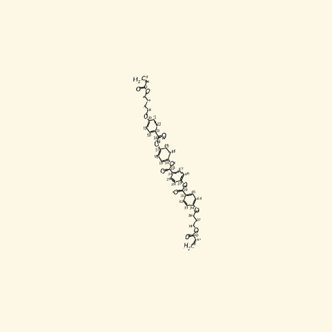 C=CC(=O)OCCCCOc1ccc(C(=O)OC2=CC=C(OC(=O)c3ccc(OC(=O)c4ccc(OCCCOC(=O)C=C)cc4)cc3)CC2)cc1